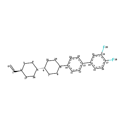 C=C[C@H]1CC[C@H](C2CCC(c3ccc(-c4ccc(F)c(F)c4)cc3)CC2)CC1